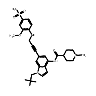 COc1cc(S(C)(=O)=O)ccc1NCC#Cc1cc(NC(=O)C2CCN(C)CC2)c2ccn(CC(F)(F)F)c2c1